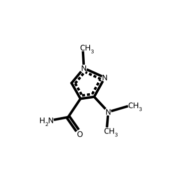 CN(C)c1nn(C)cc1C(N)=O